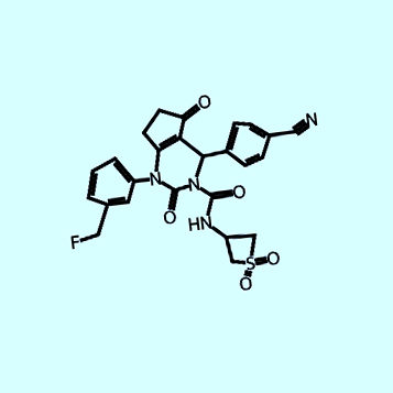 N#Cc1ccc(C2C3=C(CCC3=O)N(c3cccc(CF)c3)C(=O)N2C(=O)NC2CS(=O)(=O)C2)cc1